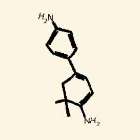 CC1(C)CC(c2ccc(N)cc2)=CC=C1N